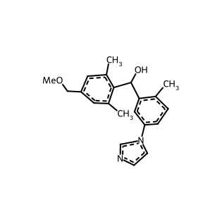 COCc1cc(C)c(C(O)c2cc(-n3ccnc3)ccc2C)c(C)c1